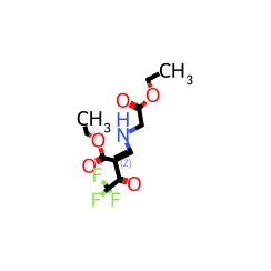 CCOC(=O)CN/C=C(\C(=O)OCC)C(=O)C(F)(F)F